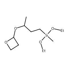 CCO[Si](C)(CCC(C)OC1CCO1)OCC